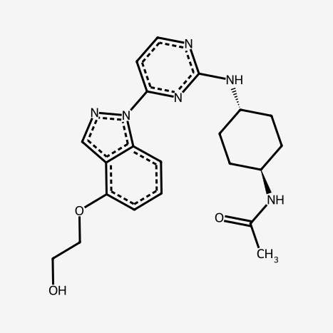 CC(=O)N[C@H]1CC[C@H](Nc2nccc(-n3ncc4c(OCCO)cccc43)n2)CC1